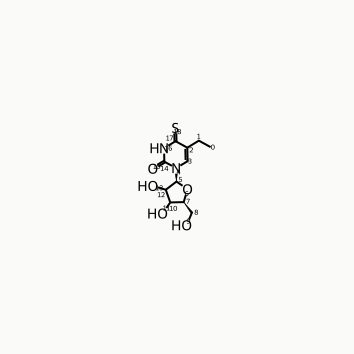 CCc1cn([C@H]2O[C@@H](CO)C(O)C2O)c(=O)[nH]c1=S